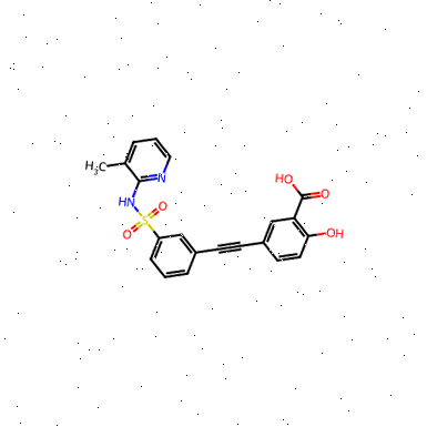 Cc1cccnc1NS(=O)(=O)c1cccc(C#Cc2ccc(O)c(C(=O)O)c2)c1